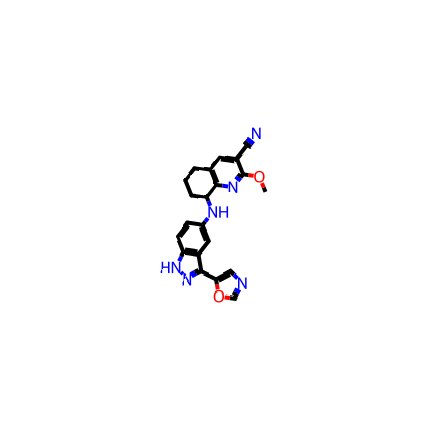 COc1nc2c(cc1C#N)CCCC2Nc1ccc2[nH]nc(-c3cnco3)c2c1